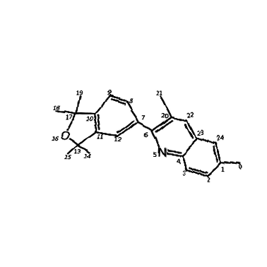 Cc1ccc2nc(-c3ccc4c(c3)C(C)(C)OC4(C)C)c(C)cc2c1